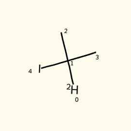 [2H]C(C)(C)I